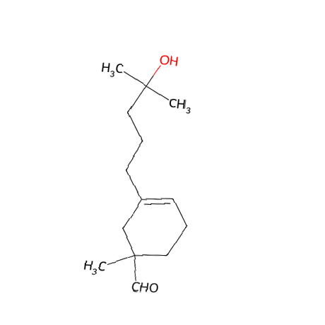 CC(C)(O)CCCC1=CCCC(C)(C=O)C1